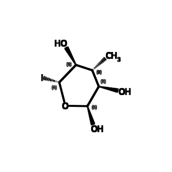 C[C@@H]1[C@@H](O)[C@@H](O)O[C@H](I)[C@H]1O